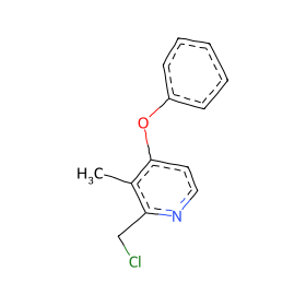 Cc1c(Oc2ccccc2)ccnc1CCl